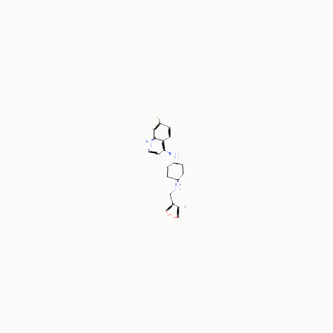 Clc1ccc2c(N[C@H]3CC[C@@H](NCc4ccoc4)CC3)ccnc2c1